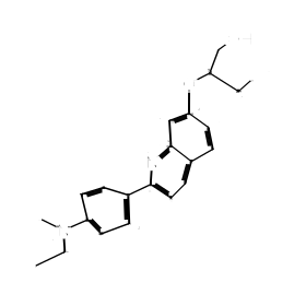 CCN(C)c1ccc(-c2ccc3ccc(OC(CO)CF)cc3n2)cc1